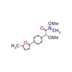 COC(C(=O)N(C)OC)c1ccc(-c2ccc(C)o2)cc1